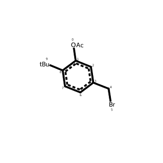 CC(=O)Oc1cc(CBr)ccc1C(C)(C)C